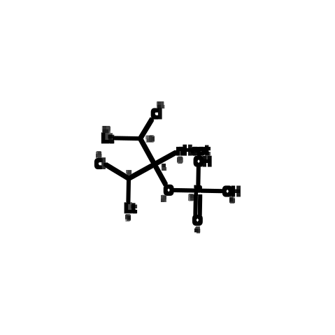 CCCCCCCC(OP(=O)(O)O)(C(Cl)CC)C(Cl)CC